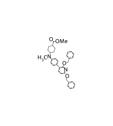 COC(=O)C1CCC(N(C)c2ccc(-c3ccc(OCc4ccccc4)nc3OCc3ccccc3)cc2)CC1